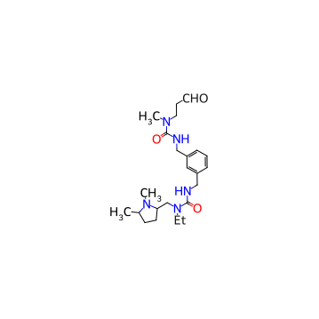 CCN(CC1CCC(C)N1C)C(=O)NCc1cccc(CNC(=O)N(C)CCC=O)c1